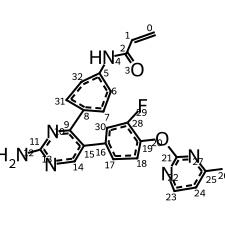 C=CC(=O)Nc1ccc(-c2nc(N)ncc2-c2ccc(Oc3nccc(C)n3)c(F)c2)cc1